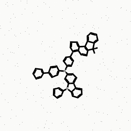 CC1(C)c2ccccc2-c2c1ccc1c(-c3ccc(N(c4ccc(-c5ccccc5)cc4)c4ccc5c6ccccc6n(-c6ccccc6)c5c4)cc3)cccc21